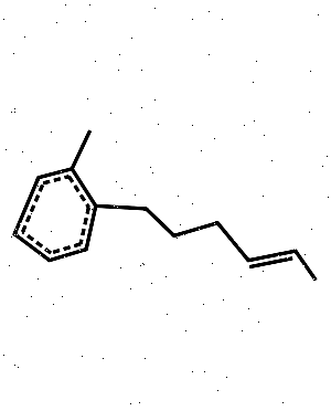 C/C=C/CCCc1ccccc1C